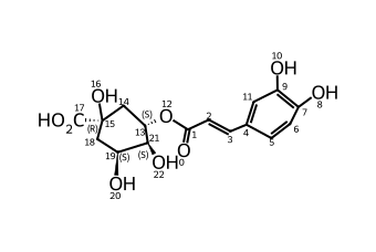 O=C(C=Cc1ccc(O)c(O)c1)O[C@H]1C[C@@](O)(C(=O)O)C[C@H](O)[C@@H]1O